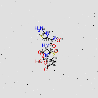 CO/N=C(\C(=O)N[C@@H]1C(=O)N2[C@@H]1[S@@+]([O-])C[C@@H]1CC(=O)O[C@@]12C(=O)O)c1csc(N)n1